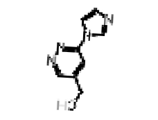 OCc1cnnc(-n2ccnc2)c1